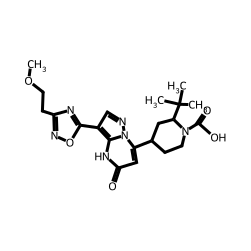 COCCc1noc(-c2cnn3c(C4CCN(C(=O)O)C(C(C)(C)C)C4)cc(=O)[nH]c23)n1